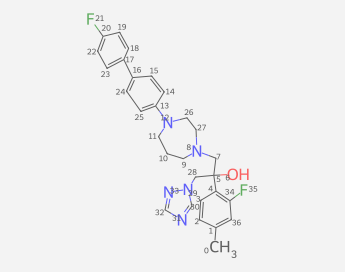 Cc1ccc(C(O)(CN2CCCN(c3ccc(-c4ccc(F)cc4)cc3)CC2)Cn2cncn2)c(F)c1